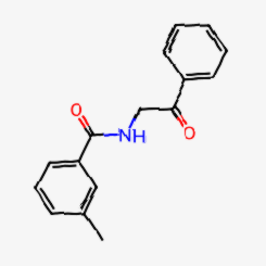 Cc1cccc(C(=O)NCC(=O)c2ccccc2)c1